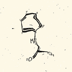 O=[C](O)[Hg][c]1ccccc1